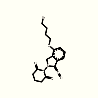 O=C=C1c2cccc(OCCCCBr)c2CN1N1C(=O)CCCC1=O